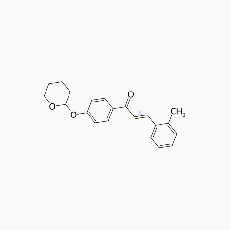 Cc1ccccc1/C=C/C(=O)c1ccc(OC2CCCCO2)cc1